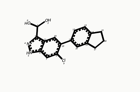 OC(O)c1n[nH]c2cc(Cl)c(-c3ccc4c(c3)CCC4)cc12